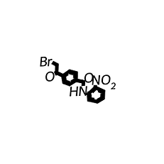 O=C(CBr)c1ccc(C(=O)Nc2ccccc2[N+](=O)[O-])cc1